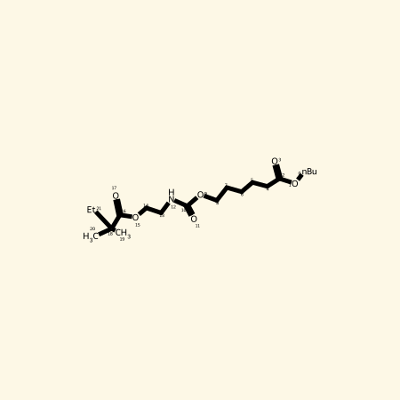 CCCCOC(=O)CCCCCOC(=O)NCCOC(=O)C(C)(C)CC